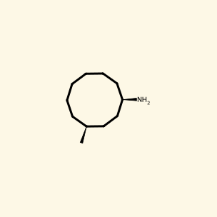 C[C@H]1CCCCCC[C@@H](N)CC1